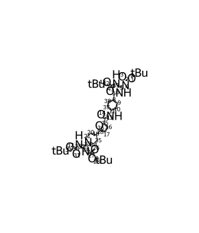 CC(C)(C)OC(=O)/N=C(/NCc1ccc(NC(=O)c2ccc(C3=CCN(/C(=N\C(=O)OC(C)(C)C)NC(=O)OC(C)(C)C)CC3)o2)cc1)NC(=O)OC(C)(C)C